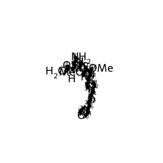 C=CC(=O)Nc1cc(N)nc(Sc2c(OC)nc(N3CCN(CCOCCN4CCOCC4)CC3)nc2OC)n1